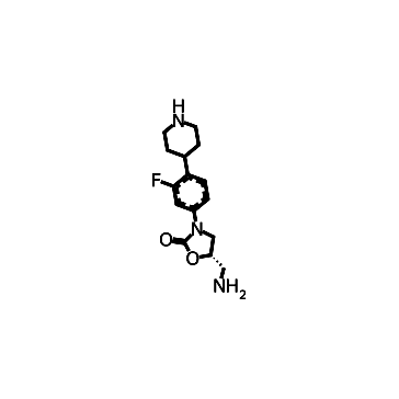 NC[C@H]1CN(c2ccc(C3CCNCC3)c(F)c2)C(=O)O1